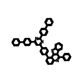 c1ccc(-c2ccc(-c3cc(-c4ccc(-c5cccc6nc(-c7ccccc7)c7c8ccccc8sc7c56)cc4)nc(-c4ccc(-c5ccccc5)cc4)n3)cc2)cc1